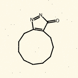 O=C1N=NC2=C1CCCCCCCCC2